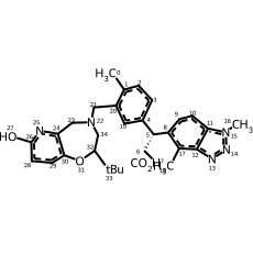 Cc1ccc([C@@H](CC(=O)O)c2ccc3c(nnn3C)c2C)cc1CN1Cc2nc(O)ccc2OC(C(C)(C)C)C1